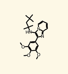 COc1cc(-c2nc3ccccn3c2NC(C)(C)CC(C)(C)C)cc(OC)c1OC